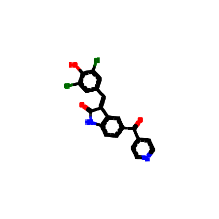 O=C1Nc2ccc(C(=O)c3ccncc3)cc2C1=Cc1cc(Cl)c(O)c(Cl)c1